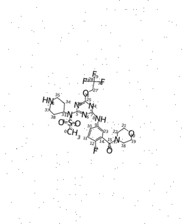 CS(=O)(=O)N(c1nc(Nc2ccc(F)c(C(=O)N3CCOCC3)c2)nc(OCC(F)(F)F)n1)C1CCNCC1